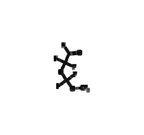 O=C(F)C(F)(F)OC(F)(F)OC(F)(F)F